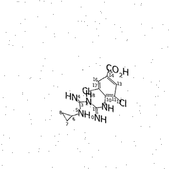 N=C(NC(=N)NC1CC1)Nc1c(Cl)cc(C(=O)O)cc1Cl